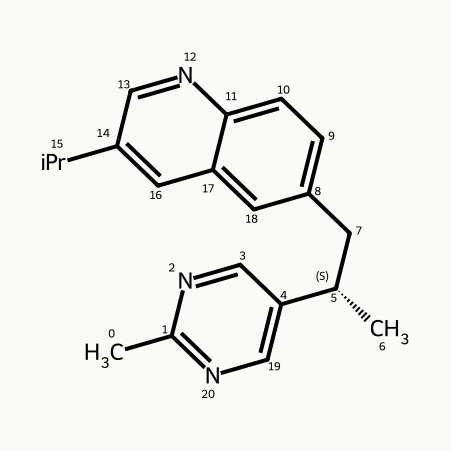 Cc1ncc([C@@H](C)Cc2ccc3ncc(C(C)C)cc3c2)cn1